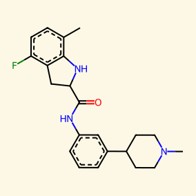 Cc1ccc(F)c2c1NC(C(=O)Nc1cccc(C3CCN(C)CC3)c1)C2